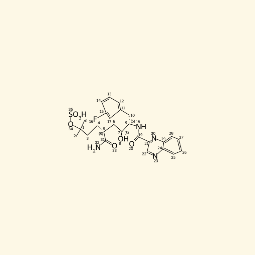 CC(C)(CC[C@H](C[C@H](O)[C@H](Cc1cccc(F)c1)NC(=O)c1cnc2ccccc2n1)C(N)=O)OS(=O)(=O)O